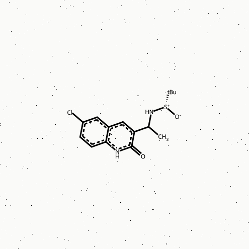 CC(N[S@@+]([O-])C(C)(C)C)c1cc2cc(Cl)ccc2[nH]c1=O